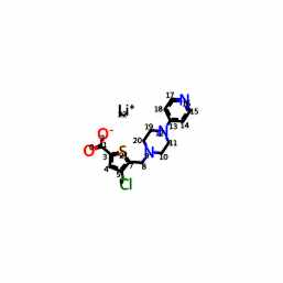 O=C([O-])c1cc(Cl)c(CN2CCN(c3ccncc3)CC2)s1.[Li+]